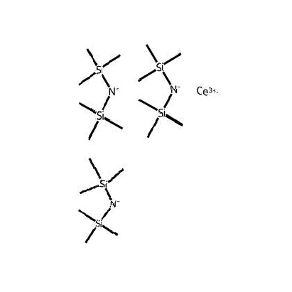 C[Si](C)(C)[N-][Si](C)(C)C.C[Si](C)(C)[N-][Si](C)(C)C.C[Si](C)(C)[N-][Si](C)(C)C.[Ce+3]